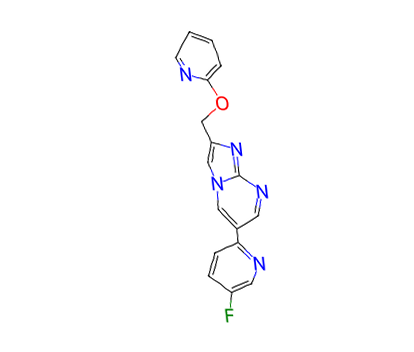 Fc1ccc(-c2cnc3nc(COc4ccccn4)cn3c2)nc1